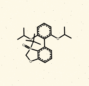 CC(C)Oc1cccc(OC(C)C)c1-c1cccc2c1P(=O)(C(C)(C)C)CO2